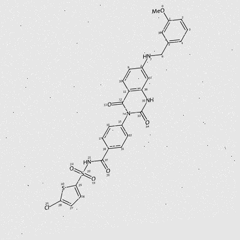 COc1cccc(CNc2ccc3c(=O)n(-c4ccc(C(=O)NS(=O)(=O)c5ccc(Cl)s5)cc4)c(=O)[nH]c3c2)c1